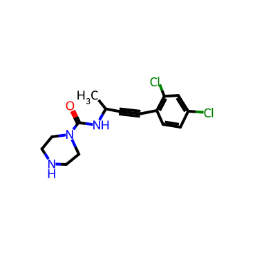 CC(C#Cc1ccc(Cl)cc1Cl)NC(=O)N1CCNCC1